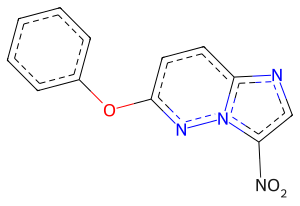 O=[N+]([O-])c1cnc2ccc(Oc3ccccc3)nn12